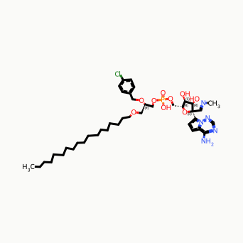 CCCCCCCCCCCCCCCCCCOC[C@H](COP(=O)(O)OC[C@H]1O[C@@](C=NC)(c2ccc3c(N)ncnn23)[C@H](O)[C@@H]1O)OCc1ccc(Cl)cc1